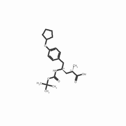 C[C@@H](C[C@H](Cc1ccc(OC2CCCC2)cc1)NC(=O)OC(C)(C)C)C(=O)O